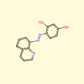 Oc1ccc(N=Nc2cccc3cccnc23)c(O)c1